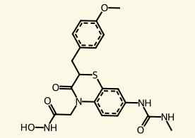 CNC(=O)Nc1ccc2c(c1)SC(Cc1ccc(OC)cc1)C(=O)N2CC(=O)NO